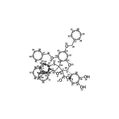 CC(=O)[C@@]1(OCc2ccccc2)[C@@H](c2ccc(O)c(O)c2)Oc2cc(OCc3ccccc3)cc(OCc3ccccc3)c2C1(Cc1ccccc1)Sc1nc2ccccc2s1